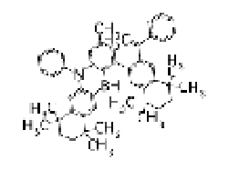 C=C(c1ccccc1)c1cc2c(cc1-c1cc(C)cc3c1Bc1cc4c(cc1N3c1ccccc1)C(C)(C)CCC4(C)C)C(C)(C)CCC2(C)C